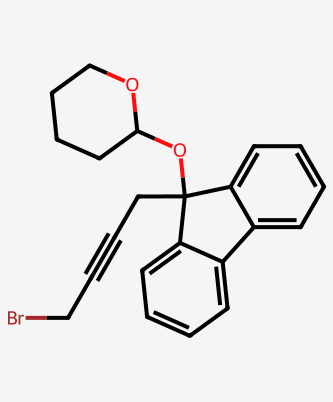 BrCC#CCC1(OC2CCCCO2)c2ccccc2-c2ccccc21